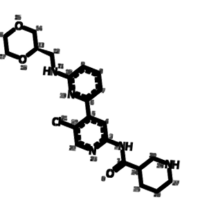 O=C(Nc1cc(-c2cccc(NC[C@@H]3COCCO3)n2)c(Cl)cn1)C1CCCNC1